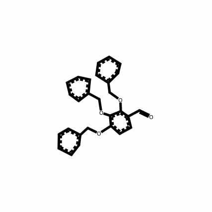 O=Cc1ccc(OCc2ccccc2)c(OCc2ccccc2)c1OCc1ccccc1